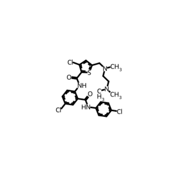 CN(C)CCN(C)Cc1cc(Cl)c(C(=O)Nc2ccc(Cl)cc2C(=O)Nc2ccc(Cl)cc2)s1